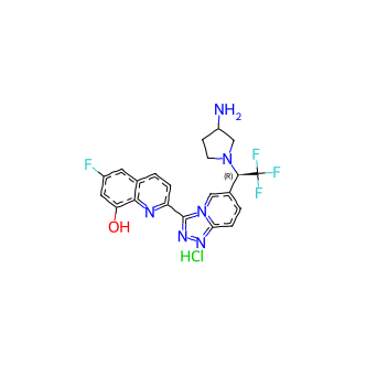 Cl.NC1CCN([C@H](c2ccc3nnc(-c4ccc5cc(F)cc(O)c5n4)n3c2)C(F)(F)F)C1